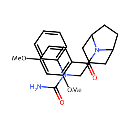 COc1ccc(C(=O)N2C3CCC2CC(CN(C(N)=O)c2ccccc2)C3)c(OC)c1